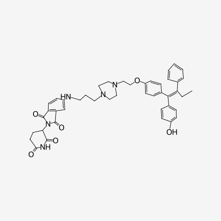 CC/C(=C(\c1ccc(O)cc1)c1ccc(OCCN2CCN(CCCNc3ccc4c(c3)C(=O)N(C3CCC(=O)NC3=O)C4=O)CC2)cc1)c1ccccc1